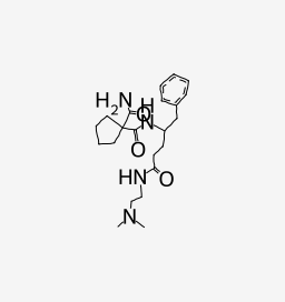 CN(C)CCNC(=O)CCC(Cc1ccccc1)NC(=O)C1(C(N)=O)CCCC1